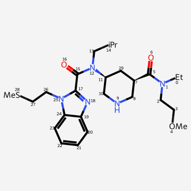 CCN(CCOC)C(=O)[C@H]1CNC[C@@H](N(CC(C)C)C(=O)c2nc3ccccc3n2CCSC)C1